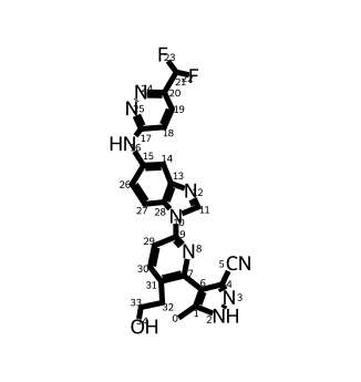 Cc1[nH]nc(C#N)c1-c1nc(-n2cnc3cc(Nc4ccc(C(F)F)nn4)ccc32)ccc1CCO